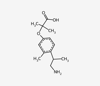 Cc1cc(OC(C)(C)C(=O)O)ccc1C(C)CN